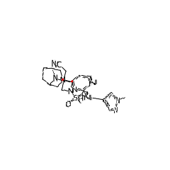 Cn1cc(Nc2nccc(N3CC4CCC(C3)N4C3(CC#N)CN(S(C)(=O)=O)C3)n2)cn1